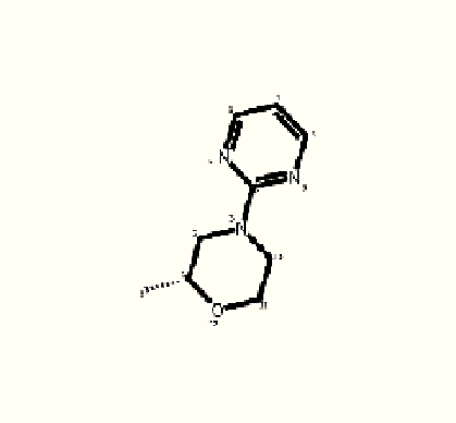 C[C@@H]1CN(c2nc[c]cn2)CCO1